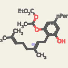 CCCCCc1cc(O)c(C/C=C(\C)CCC=C(C)C)c(OC(C)OC(=O)OCC)c1